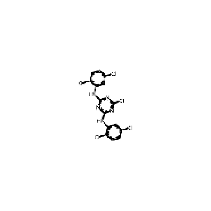 Clc1ccc(Cl)c(Nc2nc(Cl)nc(Nc3cc(Cl)ccc3Cl)n2)c1